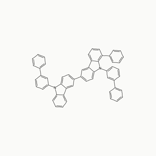 c1ccc(-c2cccc(-n3c4ccccc4c4cc(-c5ccc6c(c5)c5cccc(-c7ccccc7)c5n6-c5cccc(-c6ccccc6)c5)ccc43)c2)cc1